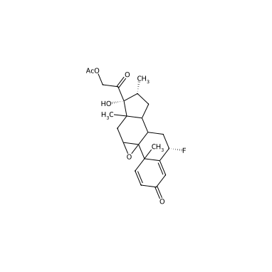 CC(=O)OCC(=O)[C@@]1(O)[C@H](C)CC2C3C[C@H](F)C4=CC(=O)C=CC4(C)C34OC4CC21C